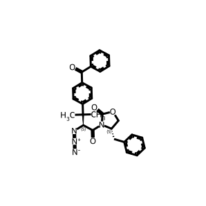 CC(C)(c1ccc(C(=O)c2ccccc2)cc1)[C@H](N=[N+]=[N-])C(=O)N1C(=O)OC[C@@H]1Cc1ccccc1